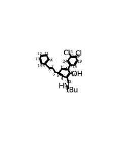 CC(C)(C)NCc1cc(CCCc2ccccc2)cc(-c2ccc(Cl)c(Cl)c2)c1O